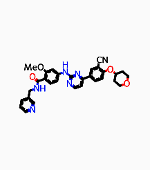 COc1cc(Nc2nccc(-c3ccc(OC4CCOCC4)c(C#N)c3)n2)ccc1C(=O)NCc1cccnc1